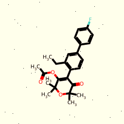 CCc1cc(-c2ccc(F)cc2)ccc1C1=C(OC(C)=O)C(C)(C)OC(C)(C)C1=O